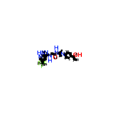 CC[C@H](O)[C@H]1CC[C@H](N2CC(NC(=O)CNc3n[nH]c4ncc(C(F)(F)F)cc34)C2)CC1